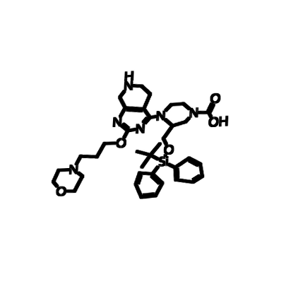 CC(C)(C)[Si](OCC1CN(C(=O)O)CCN1c1nc(OCCCN2CCOCC2)nc2c1CCNC2)(c1ccccc1)c1ccccc1